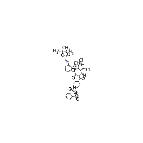 Cn1cc(C(=O)c2c(-c3c(Cl)cc(Cl)cc3Cl)noc2C2CCN(S(=O)(=O)c3ccccc3[N+](=O)[O-])CC2)c2cccc(/C=C/C(=O)OC(C)(C)C)c21